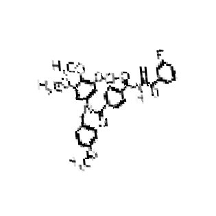 COc1ccc(CN(C(=O)c2ccc(C(=O)NNC(=O)c3cccc(F)c3)cc2)c2cc(OC)c(OC)c(OC)c2)cc1